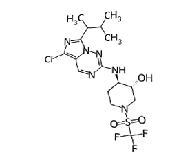 CC(C)C(C)c1nc(Cl)c2cnc(N[C@@H]3CCN(S(=O)(=O)C(F)(F)F)C[C@H]3O)nn12